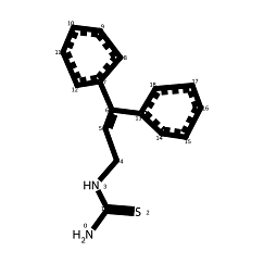 NC(=S)NCC=C(c1ccccc1)c1ccccc1